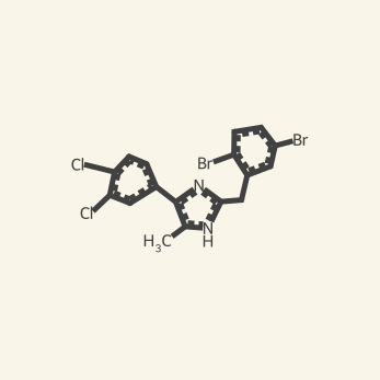 Cc1[nH]c(Cc2cc(Br)ccc2Br)nc1-c1ccc(Cl)c(Cl)c1